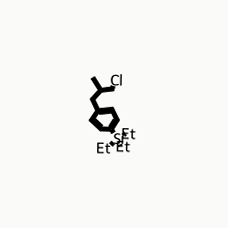 CC[Si](CC)(CC)c1ccc(CC(C)CCl)cc1